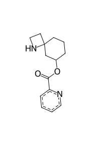 O=C(OC1CCCC2(CCN2)C1)c1ccccn1